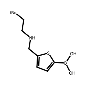 CC(C)(C)CCNCc1ccc(B(O)O)s1